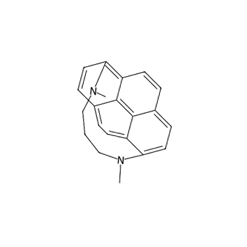 CN1CCCN(C)c2ccc3ccc4c1ccc1ccc2c3c14